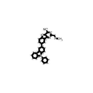 C=NCc1nc(C#N)c2oc3ccc(-c4ccc5c(c4)c4ccccc4n5-c4ccccc4)cc3c2n1